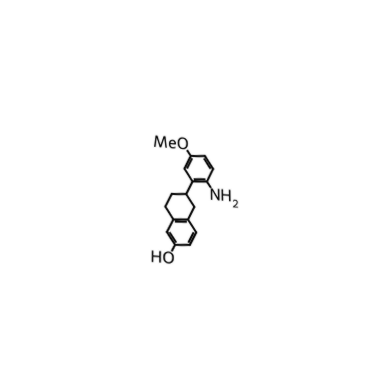 COc1ccc(N)c(C2CCc3cc(O)ccc3C2)c1